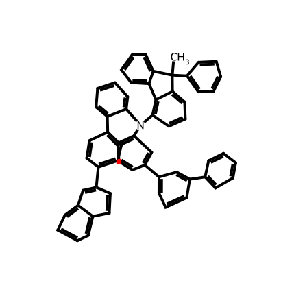 CC1(c2ccccc2)c2ccccc2-c2c(N(c3cccc(-c4cccc(-c5ccccc5)c4)c3)c3ccccc3-c3ccc(-c4ccc5ccccc5c4)cc3)cccc21